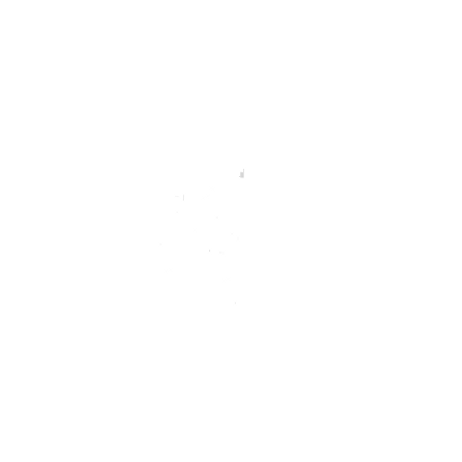 CCc1cc(C(C)C)c(C2CCCCC2)c(OC(=O)c2ccccc2)c1OC(=O)c1ccccc1